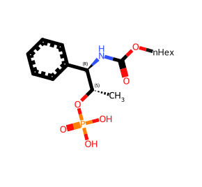 CCCCCCOC(=O)N[C@H](c1ccccc1)[C@H](C)OP(=O)(O)O